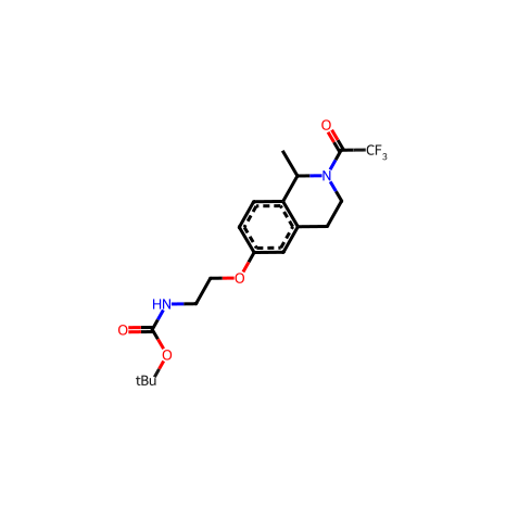 CC1c2ccc(OCCNC(=O)OC(C)(C)C)cc2CCN1C(=O)C(F)(F)F